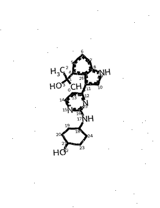 CC(C)(O)c1cccc2[nH]cc(-c3ccnc(NC4CCC(O)CC4)n3)c12